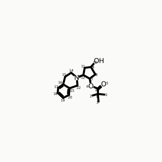 CC(C)(C)C(=O)OC1CC(O)CC1N1CCc2ccccc2C1